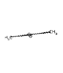 CCCCCCC=CCCCCCCCCCCCC(=O)OCCCCCCCCCCCCCCCCC